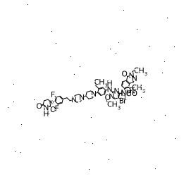 CCOc1cc(N2CCC(N3CCN(CCc4cc(F)c([C@H]5CCC(=O)NC5=O)c(F)c4)CC3)CC2)c(CC)cc1Nc1ncc(Br)c(Nc2ccc3c(=O)n(CC)ncc3c2P(C)(C)=O)n1